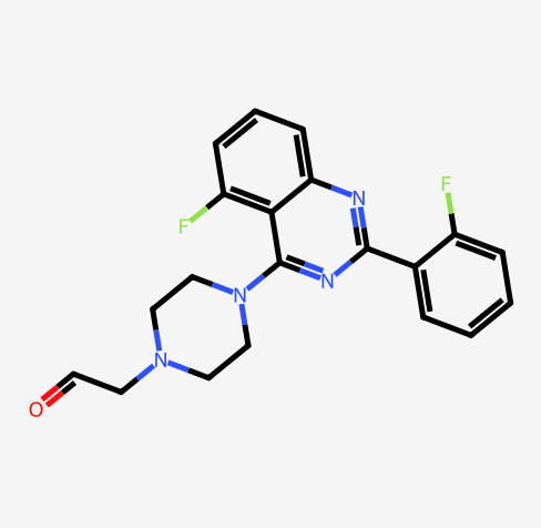 O=CCN1CCN(c2nc(-c3ccccc3F)nc3cccc(F)c23)CC1